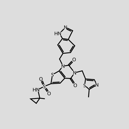 Cc1ncc(Cn2c(=O)c3cc(S(=O)(=O)NC4(C)CC4)sc3n(Cc3ccc4cn[nH]c4c3)c2=O)s1